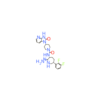 N/N=C1\NC[C@H](c2cccc(F)c2F)CC[C@H]1NC(=O)N1CCC(n2c(=O)[nH]c3ncccc32)CC1